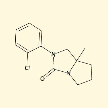 CC12CCCN1C(=O)N(c1ccccc1Cl)C2